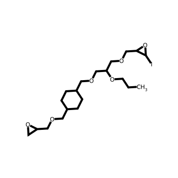 CCCOC(COCC1CCC(COCC2CO2)CC1)COCC1OC1I